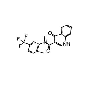 Cc1ccc(C(F)(F)F)cc1NC(=O)c1c[nH]c2ccccc2c1=O